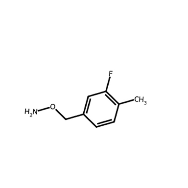 Cc1ccc(CON)cc1F